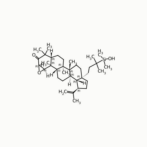 C=C(C)[C@@H]1CC[C@]2(CCC(C)(C)[Si](C)(C)O)CC[C@]3(C)[C@H](CC[C@@H]4[C@@]5(C)[C@H]6O[C@H]6C(=O)C(C)(C)[C@@H]5CC[C@]43C)[C@@H]12